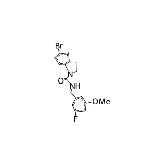 COc1cc(F)cc(CNC(=O)N2CCc3cc(Br)ccc32)c1